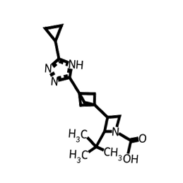 CC(C)(C)C1C(C23CC(c4nnc(C5CC5)[nH]4)(C2)C3)CN1C(=O)O